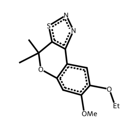 CCOc1cc2c(cc1OC)OC(C)(C)c1snnc1-2